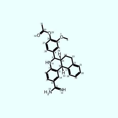 COc1cc(C2Nc3ccc(C(=N)N)cc3[C@H]3c4ccccc4CC[C@@H]23)ccc1OC(C)=O